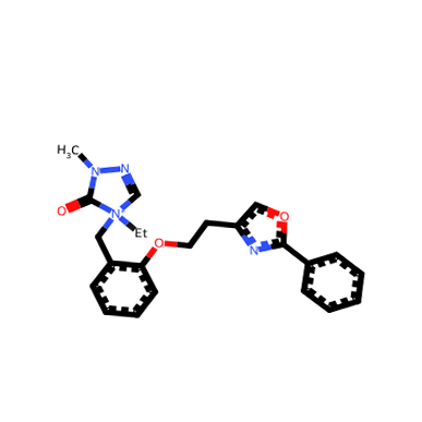 CC[N+]1(Cc2ccccc2OCCc2coc(-c3ccccc3)n2)C=NN(C)C1=O